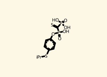 CC(C)Sc1ccc(OP(=O)(O)C(=S)P(=O)(O)O)cc1